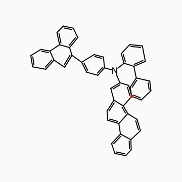 c1ccc(-c2ccccc2N(c2ccc(-c3cc4ccccc4c4ccccc34)cc2)c2ccc3c(ccc4c5ccccc5ccc34)c2)cc1